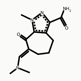 CN(C)/C=C1\CCCc2c(C(N)=O)nn(C)c2C1=O